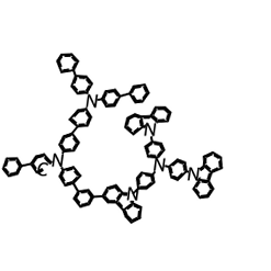 c1ccc(-c2ccc(N(c3ccc(-c4ccccc4)cc3)c3ccc(-c4ccc(N(c5ccc(-c6ccccc6)cc5)c5ccc(-c6cccc(-c7ccc8c(c7)c7ccccc7n8-c7ccc(N(c8ccc(-n9c%10ccccc%10c%10ccccc%109)cc8)c8ccc(-n9c%10ccccc%10c%10ccccc%109)cc8)cc7)c6)cc5)cc4)cc3)cc2)cc1